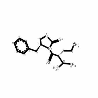 CCC[C@@H](C(=O)N1C(=O)OC[C@@H]1Cc1ccccc1)C(C)C